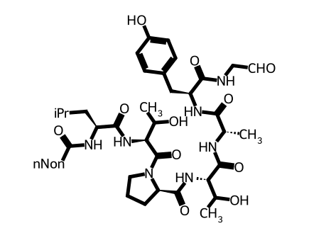 CCCCCCCCCC(=O)N[C@@H](CC(C)C)C(=O)N[C@H](C(=O)N1CCC[C@@H]1C(=O)N[C@H](C(=O)N[C@@H](C)C(=O)N[C@@H](Cc1ccc(O)cc1)C(=O)NCC=O)C(C)O)C(C)O